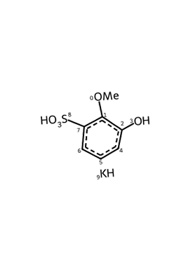 COc1c(O)cccc1S(=O)(=O)O.[KH]